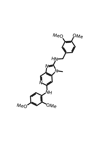 COc1ccc(Nc2cc3c(cn2)nc(NCc2ccc(OC)c(OC)c2)n3C)c(OC)c1